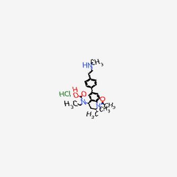 CCN(C(=O)O)[C@@H]1C[C@H](C)[N+](C)(C(C)=O)c2ccc(-c3ccc(CCNC)cc3)cc21.Cl